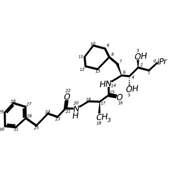 CC(C)C[C@H](O)[C@H](O)[C@H](CC1CCCCC1)NC(=O)[C@@H](C)CNC(=O)CCCc1ccccc1